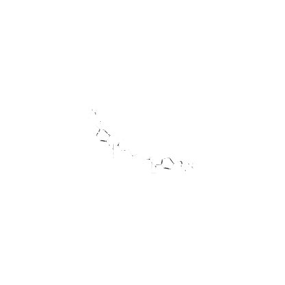 NN=Cc1ccc(NC(=O)CCCCCC(=O)Nc2ccc(C=NN)cc2)cc1